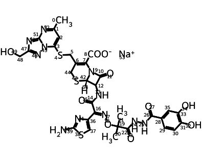 Cc1cc(SCC2=C(C(=O)[O-])N3C(=O)C(NC(=O)C(=NOC(C)(C)C(=O)NNC(=O)c4ccc(O)c(O)c4)c4csc(N)n4)[C@@H]3SC2)n2nc(CO)nc2n1.[Na+]